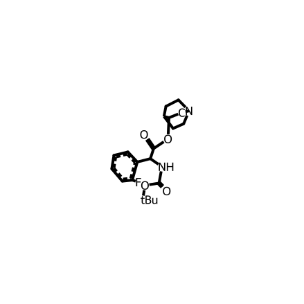 CC(C)(C)OC(=O)NC(C(=O)OC1CN2CCC1CC2)c1ccccc1F